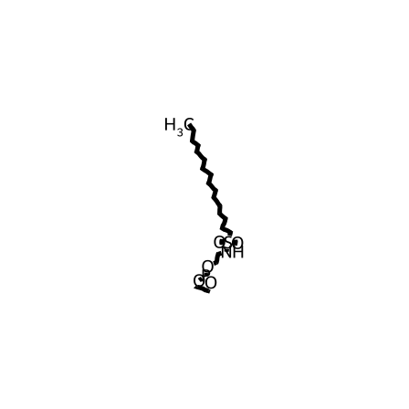 CCCCCCCCCCCCCCCCS(=O)(=O)NCCOP1OCCO1